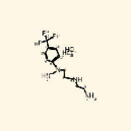 CN(CCNCCN)c1ccc(C(F)(F)F)cc1.Cl.Cl